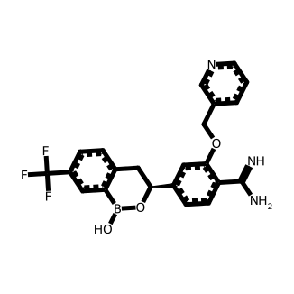 N=C(N)c1ccc([C@@H]2Cc3ccc(C(F)(F)F)cc3B(O)O2)cc1OCc1cccnc1